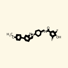 COc1ccc(-c2ccc3cn(C4CCC(CNC(=O)c5cc(F)c(O)c(F)c5)CC4)nc3c2)cc1